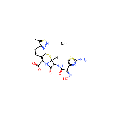 Cc1snnc1/C=C\C1=C(C(=O)[O-])N2C(=O)C(NC(=O)/C(=N\O)c3csc(N)n3)[C@H]2SC1.[Na+]